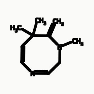 C=C1N(C)C/C=N\C=C/C1(C)C